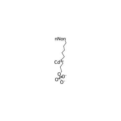 CCCCCCCCCCCCCCCCCCOP(=O)([O-])[O-].[Cd+2]